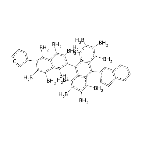 Bc1c(-c2c3c(B)c(B)c(B)c(B)c3c(-c3ccc4ccccc4c3)c3c(B)c(B)c(B)c(B)c23)c(B)c2c(B)c(B)c(-c3ccccc3)c(B)c2c1B